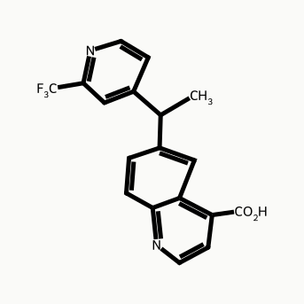 CC(c1ccnc(C(F)(F)F)c1)c1ccc2nccc(C(=O)O)c2c1